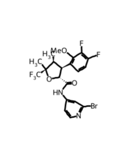 COc1c([C@H]2[C@H](C(=O)Nc3ccnc(Br)c3)O[C@@](C)(C(F)(F)F)[C@H]2C)ccc(F)c1F